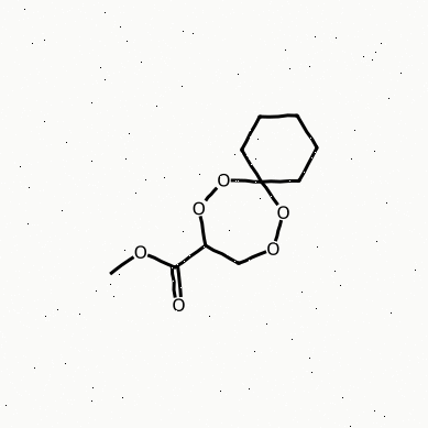 COC(=O)C1COOC2(CCCCC2)OO1